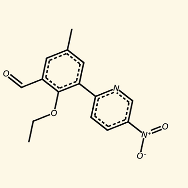 CCOc1c(C=O)cc(C)cc1-c1ccc([N+](=O)[O-])cn1